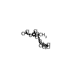 CC(COCCCC(C)Oc1c(Cl)cc(OCC=C(Cl)Cl)cc1Cl)=NOCC(Cl)(Cl)Cl